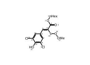 CCCCCCOC(=O)C(=Cc1cc(Cl)c(O)c(Cl)c1)SOOC